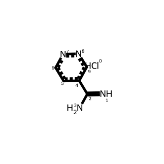 Cl.N=C(N)c1ccnnc1